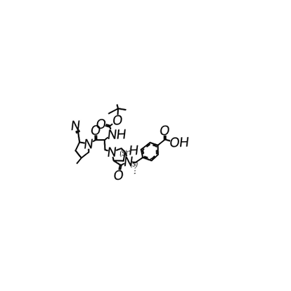 CC1CC(C#N)N(C(=O)C(CN2C[C@@H]3CC2C(=O)N3[C@@H](C)c2ccc(C(=O)O)cc2)NC(=O)OC(C)(C)C)C1